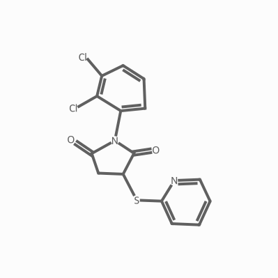 O=C1CC(Sc2ccccn2)C(=O)N1c1cccc(Cl)c1Cl